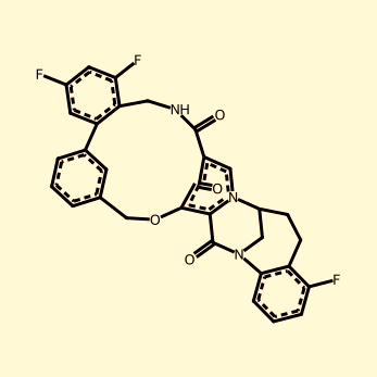 O=C1NCc2c(F)cc(F)cc2-c2cccc(c2)COc2c3n(cc1c2=O)C1CCc2c(F)cccc2N(C1)C3=O